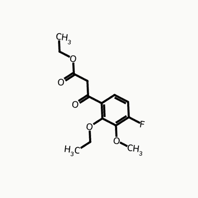 CCOC(=O)CC(=O)c1ccc(F)c(OC)c1OCC